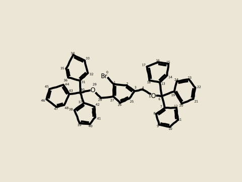 Brc1cc(COC(c2ccccc2)(c2ccccc2)c2ccccc2)ccc1COC(c1ccccc1)(c1ccccc1)c1ccccc1